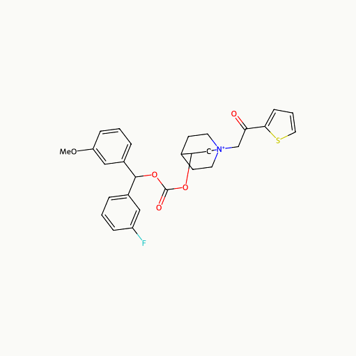 COc1cccc(C(OC(=O)OC2C[N+]3(CC(=O)c4cccs4)CCC2CC3)c2cccc(F)c2)c1